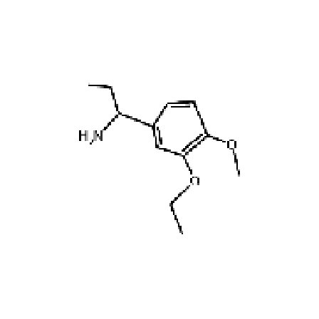 CCOc1cc(C(N)CC)ccc1OC